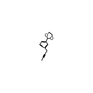 CC#CCc1cccc(C2OCCO2)c1